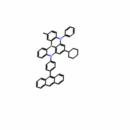 Cc1ccc2c(c1)B1c3ccccc3N(c3ccc(-c4c5ccccc5cc5ccccc45)cc3)c3cc(C4CCCCC4)cc(c31)N2c1ccccc1